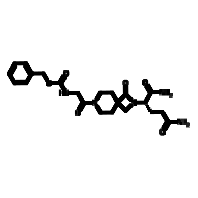 NC(=O)CC[C@@H](C(N)=O)N1CC2(CCN(C(=O)CNC(=O)OCc3ccccc3)CC2)C1=O